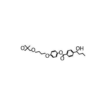 CCCC(O)c1ccc(C(=O)Oc2ccc(OCCCCOCC3(C)COC3)cc2)cc1